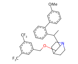 COc1cccc(-c2ccccc2C(C)C2C(OCc3cc(C(F)(F)F)cc(C(F)(F)F)c3)C3CCN2CC3)c1